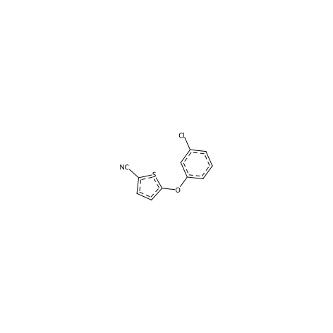 N#Cc1ccc(Oc2cccc(Cl)c2)s1